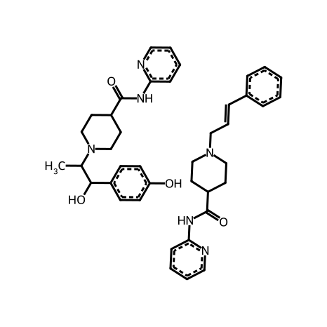 CC(C(O)c1ccc(O)cc1)N1CCC(C(=O)Nc2ccccn2)CC1.O=C(Nc1ccccn1)C1CCN(CC=Cc2ccccc2)CC1